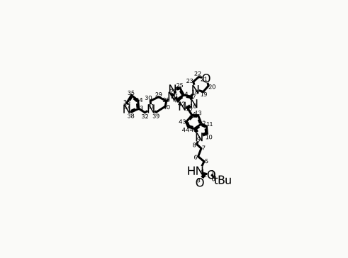 CC(C)(C)OC(=O)NCCCCn1ccc2cc(-c3nc(N4CCOCC4)c4cnn(C5CCN(Cc6cccnc6)CC5)c4n3)ccc21